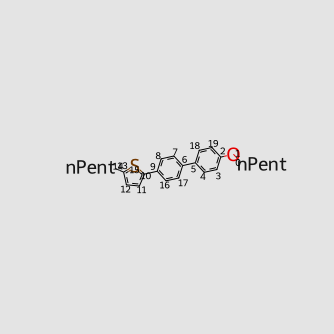 CCCCCOc1ccc(-c2ccc(-c3ccc(CCCCC)s3)cc2)cc1